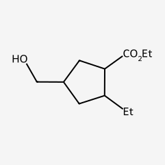 CCOC(=O)C1CC(CO)CC1CC